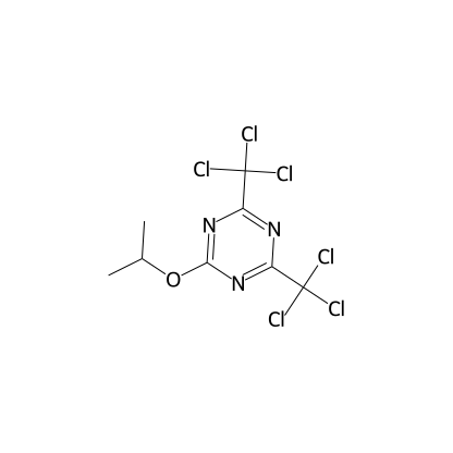 CC(C)Oc1nc(C(Cl)(Cl)Cl)nc(C(Cl)(Cl)Cl)n1